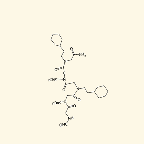 CCCCCCCCCCN(CC(=O)N(CCC1CCCCC1)CC(=O)N(CCCCCCCCCC)CC(=O)N(CCC1CCCCC1)CC(N)=O)C(=O)CNC=O